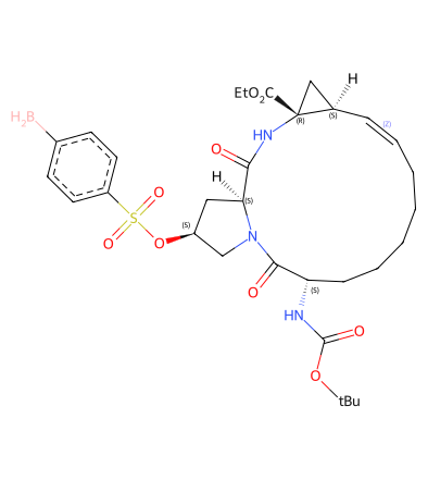 Bc1ccc(S(=O)(=O)O[C@H]2C[C@H]3C(=O)N[C@]4(C(=O)OCC)C[C@H]4/C=C\CCCCC[C@H](NC(=O)OC(C)(C)C)C(=O)N3C2)cc1